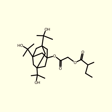 CCC(C)C(=O)OCC(=O)OC12CC3(C(C)(C)O)CC(C(C)(C)O)(C1)CC(C(C)(C)O)(C2)C3